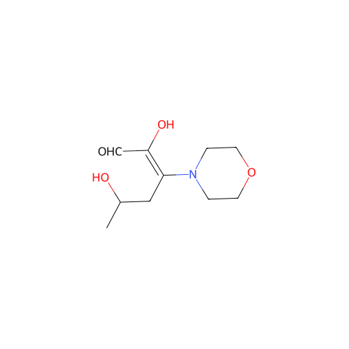 CC(O)C/C(=C(/O)C=O)N1CCOCC1